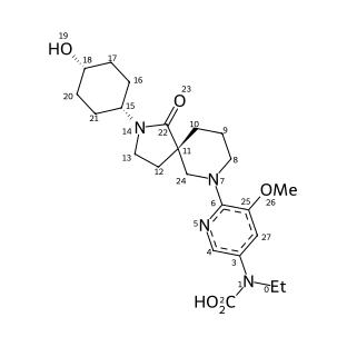 CCN(C(=O)O)c1cnc(N2CCC[C@]3(CCN([C@H]4CC[C@@H](O)CC4)C3=O)C2)c(OC)c1